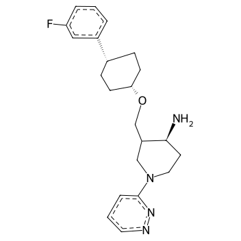 N[C@H]1CCN(c2cccnn2)CC1CO[C@H]1CC[C@@H](c2cccc(F)c2)CC1